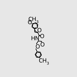 COc1ccc2oc(C(=O)NC(C=O)COCc3ccc(C)cc3)cc2c1